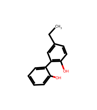 CCc1ccc(O)c(-c2ccccc2O)c1